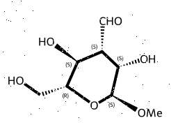 CO[C@H]1O[C@H](CO)[C@@H](O)[C@H](C=O)[C@@H]1O